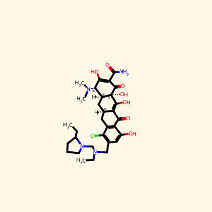 CCC1CCCN1CN(CC)Cc1cc(O)c2c(c1Cl)C[C@H]1C[C@H]3[C@H](N(C)C)C(O)=C(C(N)=O)C(=O)[C@@]3(O)C(O)=C1C2=O